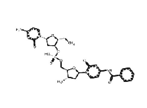 CC[C@H]1O[C@@H](n2ccc(N)nc2=O)C[C@@H]1O[P@](O)(=S)OC[C@H]1O[C@@H](n2ccc(NC(=O)c3ccccc3)nc2=O)C[C@@H]1C